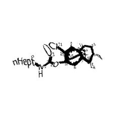 CCCCCCCNC(=O)Oc1cc2c(cc1Cl)C1CCC2CN(C)C1